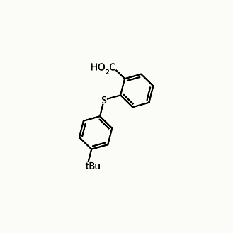 CC(C)(C)c1ccc(Sc2ccccc2C(=O)O)cc1